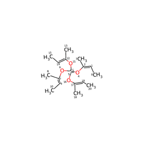 CC=C(C)O[Si](OC(C)=CC)(OC(C)=CC)OC(C)=CC